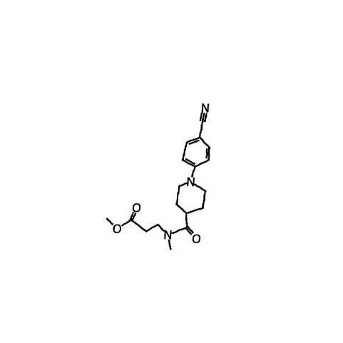 COC(=O)CCN(C)C(=O)C1CCN(c2ccc(C#N)cc2)CC1